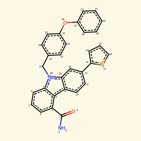 NC(=O)c1cccc2c1c1[c]cc(-c3cccs3)cc1n2Cc1ccc(Oc2ccccc2)cc1